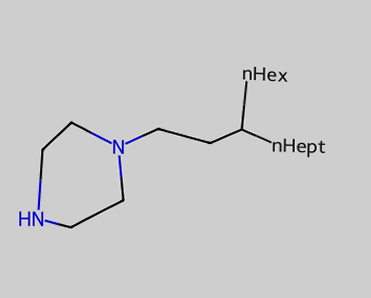 CCCCCCCC(CCCCCC)CCN1CCNCC1